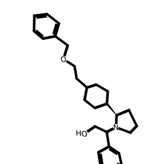 OCC(c1ccccc1)N1CCC[C@@H]1C1CCC(CCOCc2ccccc2)CC1